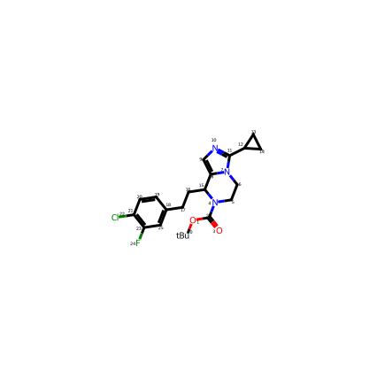 CC(C)(C)OC(=O)N1CCn2c(cnc2C2CC2)C1CCc1ccc(Cl)c(F)c1